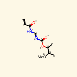 C=CC(=O)NC=NC(=O)OC(C)C(C)OC